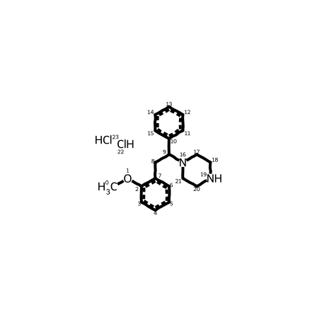 COc1ccccc1CC(c1ccccc1)N1CCNCC1.Cl.Cl